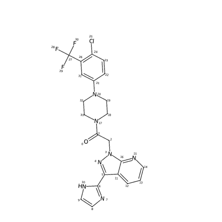 O=C(Cn1nc(-c2ncc[nH]2)c2cccnc21)N1CCN(c2ccc(Cl)c(C(F)(F)F)c2)CC1